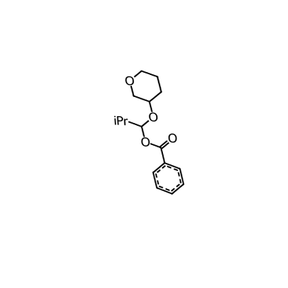 CC(C)C(OC(=O)c1ccccc1)OC1CCCOC1